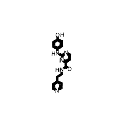 O=C(NCCc1ccncc1)c1ccnc(Nc2ccc(O)cc2)n1